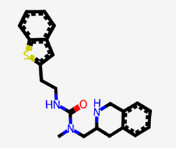 CN(CC1Cc2ccccc2CN1)C(=O)NCCc1cc2ccccc2s1